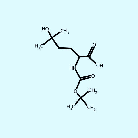 CC(C)(O)CCC(NC(=O)OC(C)(C)C)C(=O)O